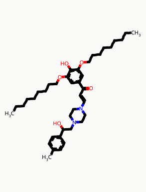 CCCCCCCCCOc1cc(C(=O)C=CN2CCN(CC(O)c3ccc(C)cc3)CC2)cc(OCCCCCCCCC)c1O